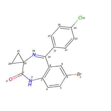 O=C1Nc2ccc(Br)cc2C(c2ccc(Cl)cc2)=NC12CC2